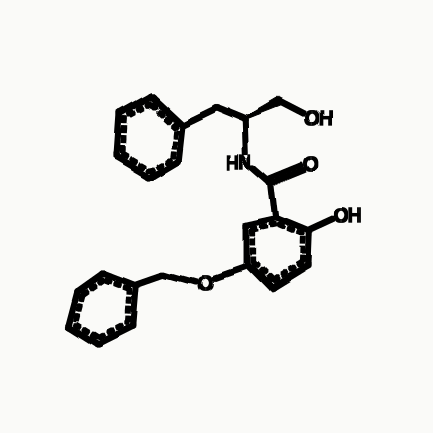 O=C(N[C@H](CO)Cc1ccccc1)c1cc(OCc2ccccc2)ccc1O